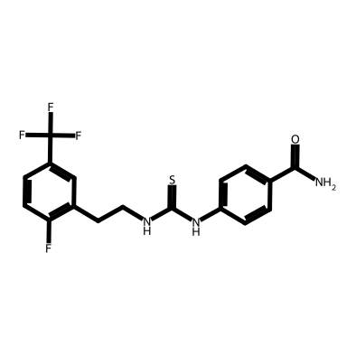 NC(=O)c1ccc(NC(=S)NCCc2cc(C(F)(F)F)ccc2F)cc1